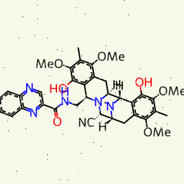 COc1c(C)c(OC)c2c(c1O)[C@H]1[C@@H]3Cc4c(OC)c(C)c(OC)c(O)c4[C@H](CNC(=O)c4cnc5ccccc5n4)N3[C@@H](C#N)[C@@H](C2)N1C